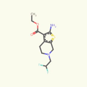 CCOC(=O)c1c(N)sc2c1CCN(CC(F)F)C2